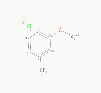 FC(F)(F)c1cccc([O][Zr+2])c1.[Cl-].[Cl-]